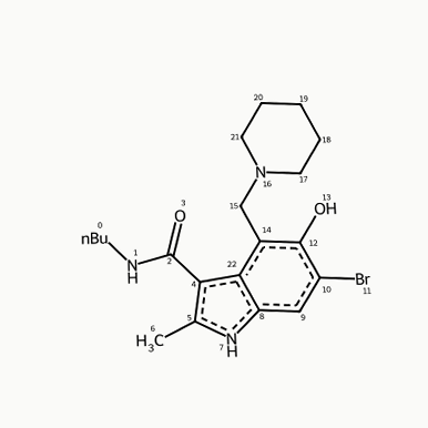 CCCCNC(=O)c1c(C)[nH]c2cc(Br)c(O)c(CN3CCCCC3)c12